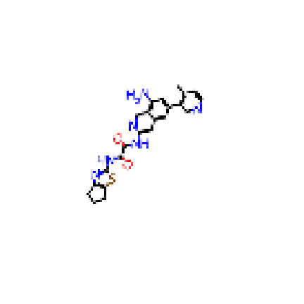 Cc1ccncc1-c1cc(N)c2cnc(NC(=O)C(=O)Nc3nc4c(s3)CCC4)cc2c1